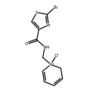 O=C(NC[N+]1([O-])C=CC=CC1)c1csc(Br)n1